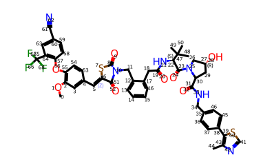 COc1cc(/C=C2\SC(=O)N(Cc3ccccc3CC(=O)N[C@H](C(=O)N3C[C@H](O)CC3C(=O)NCc3ccc(-c4scnc4C)cc3)C(C)(C)C)C2=O)ccc1Oc1ccc(C#N)cc1C(F)(F)F